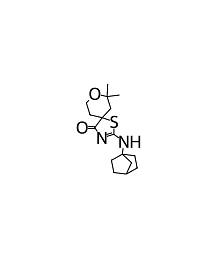 CC1(C)CC2(CCO1)SC(NC13CCC(CC1)C3)=NC2=O